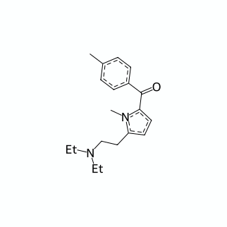 CCN(CC)CCc1ccc(C(=O)c2ccc(C)cc2)n1C